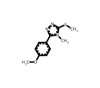 COc1ccc(-c2nnc(SC)n2C)cc1